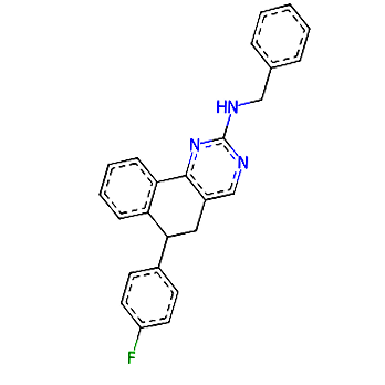 Fc1ccc(C2Cc3cnc(NCc4ccccc4)nc3-c3ccccc32)cc1